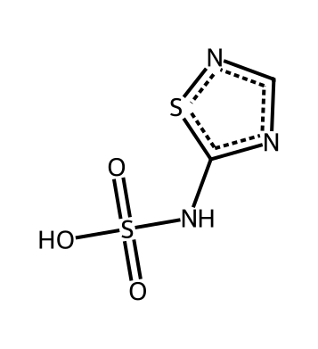 O=S(=O)(O)Nc1ncns1